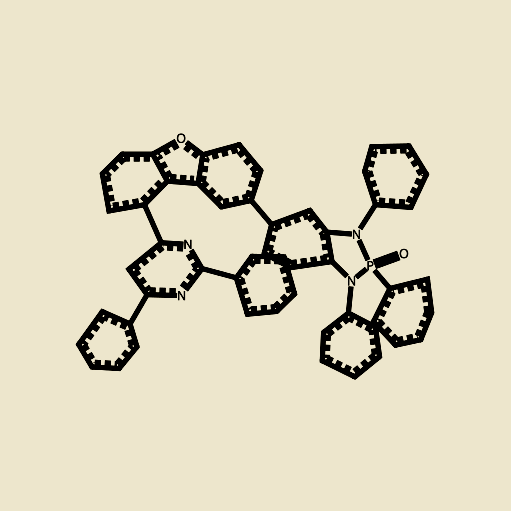 O=P1(c2ccccc2)N(c2ccccc2)c2ccc(-c3ccc4oc5cccc(-c6cc(-c7ccccc7)nc(-c7ccccc7)n6)c5c4c3)cc2N1c1ccccc1